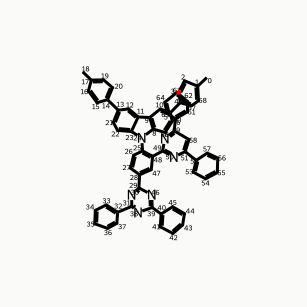 Cc1ccc(-c2ccc3c(c2)c2cc(-c4ccc(C)cc4)ccc2n3-c2ccc(-c3nc(-c4ccccc4)nc(-c4ccccc4)n3)cc2-c2nc(-c3ccccc3)cc(-c3ccccc3)n2)cc1